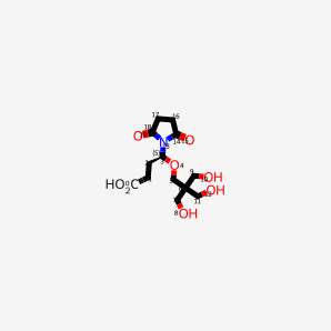 O=C(O)CC[C@H](OCC(CO)(CO)CO)N1C(=O)CCC1=O